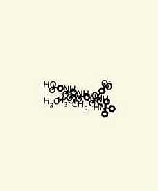 CCCCCOc1c(C(=O)Nc2ccc(C(=O)O)cc2)ccc(NC(=O)c2ccc(NC(=O)C(CCNC(c3ccccc3)(c3ccccc3)c3ccccc3)NC(=O)c3ccc([N+](=O)[O-])cc3)cc2)c1OC(C)C